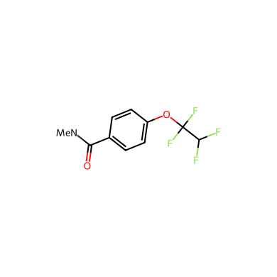 CNC(=O)c1ccc(OC(F)(F)C(F)F)cc1